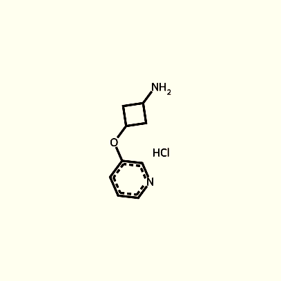 Cl.NC1CC(Oc2cccnc2)C1